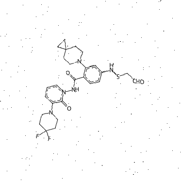 O=CCSNc1ccc(C(=O)Nn2cccc(N3CCC(F)(F)CC3)c2=O)c(N2CCC3(CC2)CC3)c1